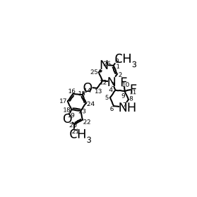 CC1=CN(C2CCNCC2(F)F)C(COc2ccc3oc(C)cc3c2)C=N1